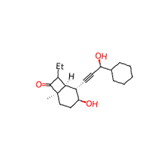 CCC1C(=O)[C@]2(C)CC[C@H](O)[C@@H](C#C[C@@H](O)C3CCCCC3)[C@H]12